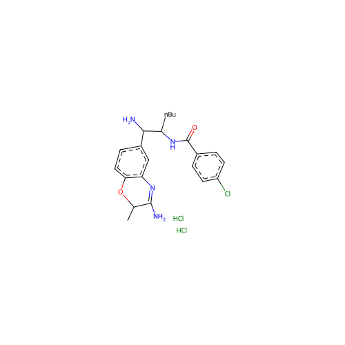 CCCCC(NC(=O)c1ccc(Cl)cc1)C(N)c1ccc2c(c1)N=C(N)C(C)O2.Cl.Cl